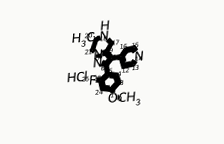 COc1ccc(-c2nn3c(c2-c2ccncc2)CN[C@H](C)C3)c(F)c1.Cl